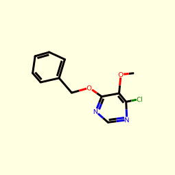 COc1c(Cl)ncnc1OCc1ccccc1